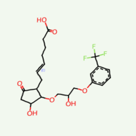 O=C(O)CCC/C=C/CC1C(=O)CC(O)C1OCC(O)COc1cccc(C(F)(F)F)c1